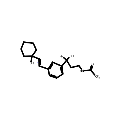 [2H]C(O)(CCNC(=O)C(F)(F)F)c1cccc(/C=C/C2(O)CCCCC2)c1